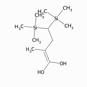 CC(CC([Si](C)(C)C)[Si](C)(C)C)=C(O)O